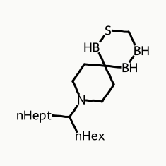 CCCCCCCC(CCCCCC)N1CCC2(BBCSB2)CC1